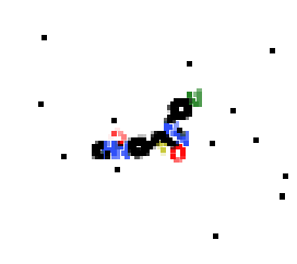 O=C(Nc1ccc(-c2cc3c(s2)c(=O)ncn3Cc2ccc(Cl)cc2)cc1)N1CCCC1